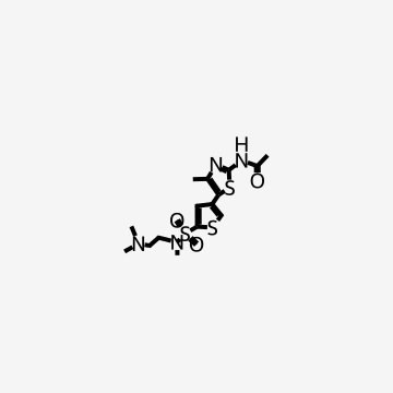 CC(=O)Nc1nc(C)c(-c2csc(S(=O)(=O)N(C)CCN(C)C)c2)s1